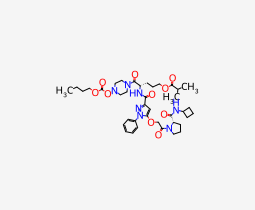 CCCCOC(=O)ON1CCN(C(=O)[C@H](CCCOC(=O)C(C)C)NC(=O)c2cc(OCC(=O)N3CCC[C@H]3C(=O)NC3CCC3)n(-c3ccccc3)n2)CC1